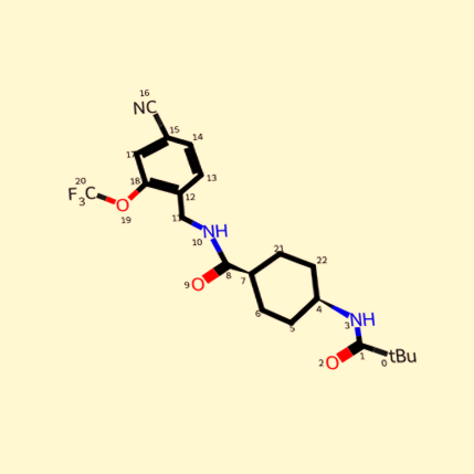 CC(C)(C)C(=O)N[C@H]1CC[C@@H](C(=O)NCc2ccc(C#N)cc2OC(F)(F)F)CC1